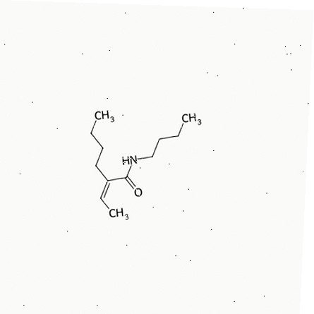 CC=C(CCCC)C(=O)NCCCC